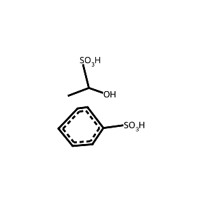 CC(O)S(=O)(=O)O.O=S(=O)(O)c1ccccc1